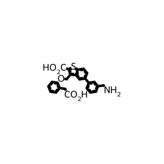 NCc1cccc(-c2ccc3sc(C(=O)O)c(COc4ccccc4CC(=O)O)c3c2)c1